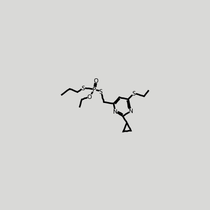 CCCSP(=O)(OCC)SCc1cc(SCC)nc(C2CC2)n1